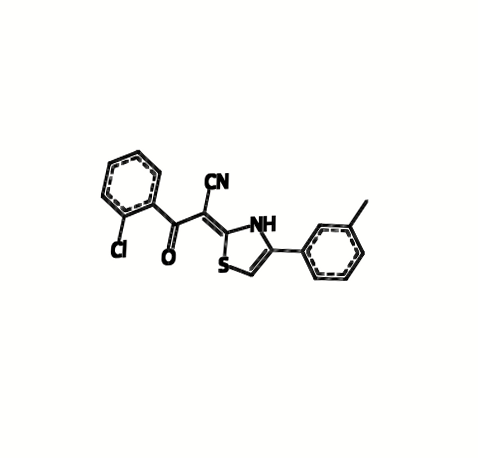 Cc1cccc(C2=CSC(=C(C#N)C(=O)c3ccccc3Cl)N2)c1